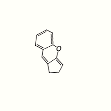 C1=C2CCC=C2Oc2ccccc21